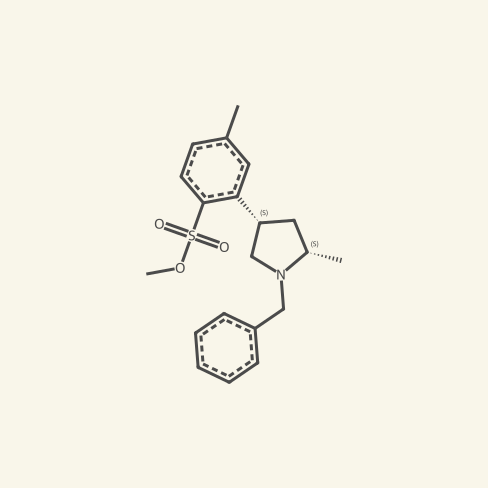 COS(=O)(=O)c1ccc(C)cc1[C@@H]1C[C@H](C)N(Cc2ccccc2)C1